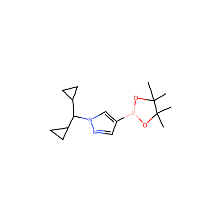 CC1(C)OB(c2cnn(C(C3CC3)C3CC3)c2)OC1(C)C